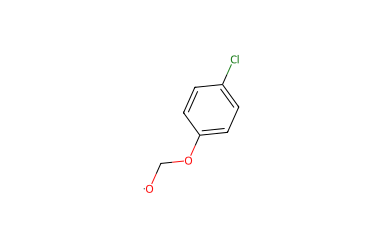 [O]COc1ccc(Cl)cc1